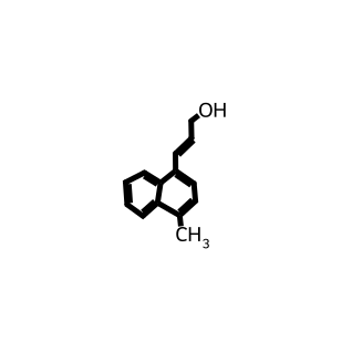 Cc1ccc(/C=C/CO)c2ccccc12